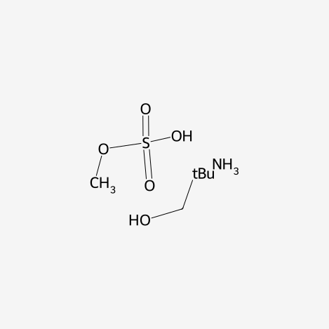 CC(C)(C)CO.COS(=O)(=O)O.N